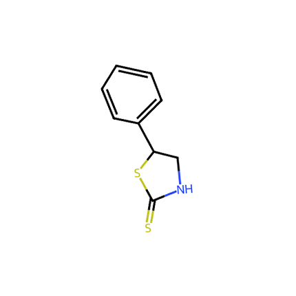 S=C1NCC(c2ccccc2)S1